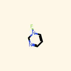 FN1C=CC=NC1